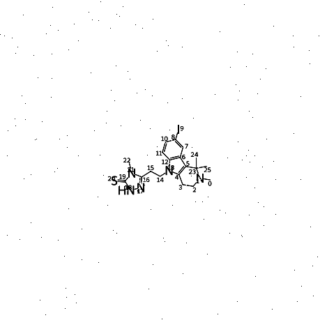 CN1CCc2c(c3cc(I)ccc3n2CCc2n[nH]c(=S)n2C)C1(C)C